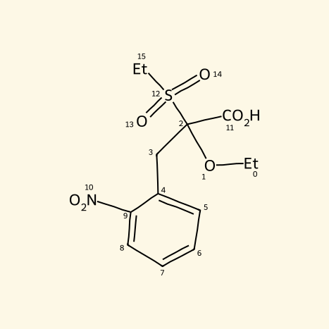 CCOC(Cc1ccccc1[N+](=O)[O-])(C(=O)O)S(=O)(=O)CC